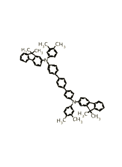 Cc1ccc(N(c2ccc(-c3ccc(-c4ccc(N(c5ccc(C)c(C)c5)c5ccc6c(c5)C(C)(C)c5ccccc5-6)cc4)cc3)cc2)c2ccc3c(c2)C(C)(C)c2ccccc2-3)cc1C